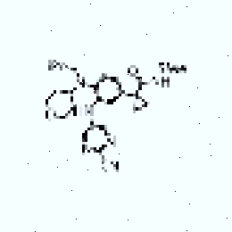 CSNC(=O)C1(c2ccc(N(CC(C)C)C3CCOCC3)c(Nc3cnc(C#N)nc3)c2)CC1